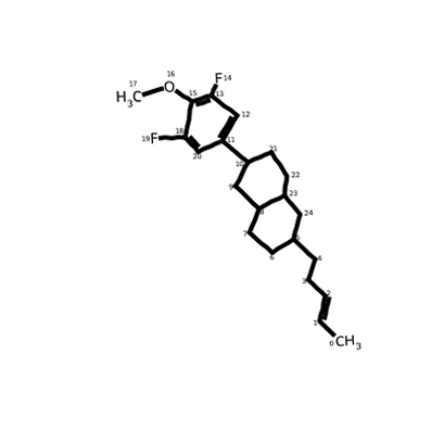 C/C=C/CCC1CCC2CC(c3cc(F)c(OC)c(F)c3)CCC2C1